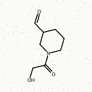 O=CC1CCCN(C(=O)CO)C1